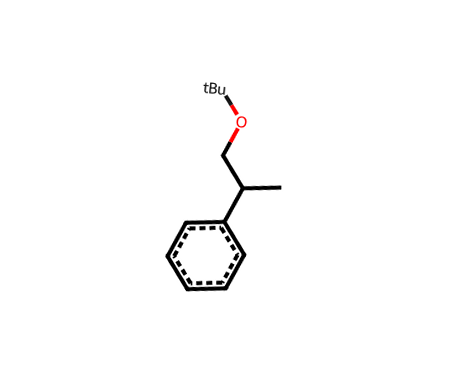 CC(COC(C)(C)C)c1ccccc1